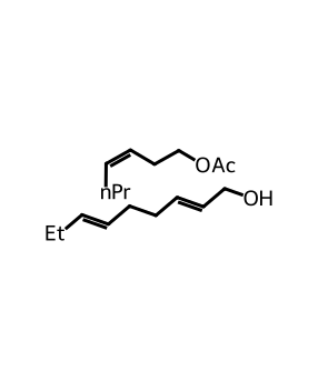 CCC/C=C\CCOC(C)=O.CCC=CCCC=CCO